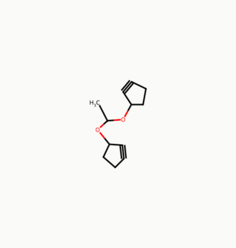 C[C](OC1C#CCC1)OC1C#CCC1